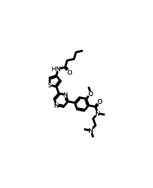 CCCCC(=O)Nc1csc(-c2cncc(-c3ccc(C(=O)N(C)CCN(C)C)c(OC)c3)n2)c1